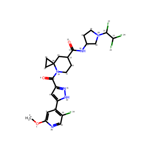 COc1cc(-c2cc(C(=O)N3CCC(C(=O)NC4CCN(C(F)C(F)F)C4)CC34CC4)n[nH]2)c(F)cn1